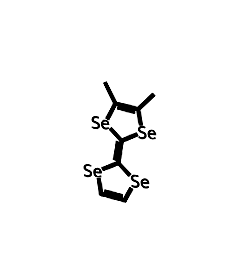 CC1=C(C)[Se]C(=C2[Se]C=C[Se]2)[Se]1